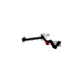 Cc1c(-c2ccc(N3CCc4cccc(C(=O)Nc5nc6ccccc6s5)c4C3)nc2C(=O)O)cnn1CC12CC3(OCCOCCN(CCS(=O)(=O)O)C(=O)CCOCCOCCOCCOCCOCCOCCN4C(=O)C=CC4=O)CC4(C)CC(C)(C1)C4(C2)C3